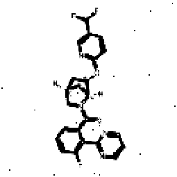 O=C(c1cccc(F)c1-c1ncccn1)N1C[C@H]2C[C@@H](Oc3ccc(C(F)F)cn3)[C@@H]1C2